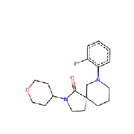 O=C1N(C2CCOCC2)CC[C@]12CCCN(c1ccccc1F)C2